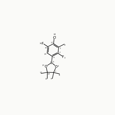 Cc1c(F)c(B2OC(C)(C)C(C)(C)O2)cc(F)c1Cl